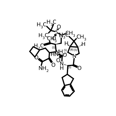 C=C(C)[C@@H](CN(C)S(=O)(=O)C(C)(C)C)NC(=O)N[C@H](C(=O)N1C[C@H]2[C@@H]([C@H]1C(=O)NC(CC1CCC1)C(=O)C(N)=O)C2(C)C)C1Cc2ccccc2C1